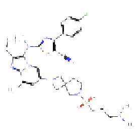 CCc1nc2c(C)cc(N3CC4(CCN(S(=O)(=O)CCCN(C)C)C4)C3)cn2c1N(C)c1nc(-c2ccc(F)cc2)c(C#N)s1